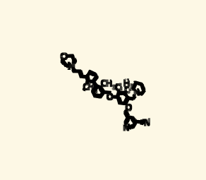 Cc1c(/C=C/CN2CCOCC2)cccc1-c1cccc(COc2cc(OCc3cncc(C#N)c3)c(CN3CCCC[C@H]3C)cc2Cl)c1C